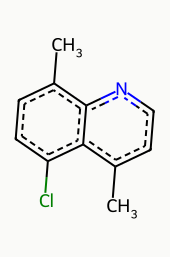 Cc1ccc(Cl)c2c(C)ccnc12